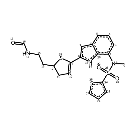 CN(c1cccc2cc(C3=NCC(CCNC=O)S3)[nH]c12)S(=O)(=O)c1cccs1